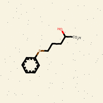 O=C(O)C(O)CCCSc1ccccc1